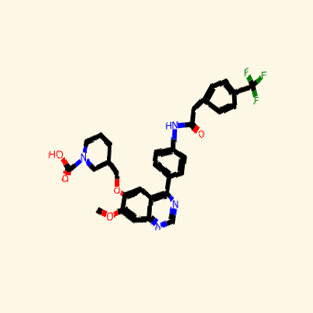 COc1cc2ncnc(-c3ccc(NC(=O)Cc4ccc(C(F)(F)F)cc4)cc3)c2cc1OCC1CCCN(C(=O)O)C1